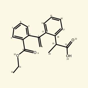 C=C(c1ccccc1C(=O)OCC)c1ccccc1C(C)C(=O)O